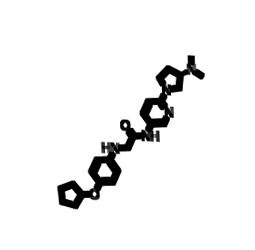 CN(C)[C@@H]1CCN(c2ccc(NC(=O)CNc3ccc(OC4CCCC4)cc3)cn2)C1